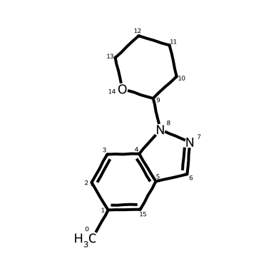 Cc1[c]cc2c(cnn2C2CCCCO2)c1